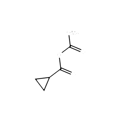 COC(=O)OC(=O)C1CC1